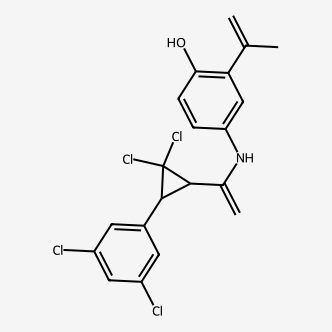 C=C(C)c1cc(NC(=C)C2C(c3cc(Cl)cc(Cl)c3)C2(Cl)Cl)ccc1O